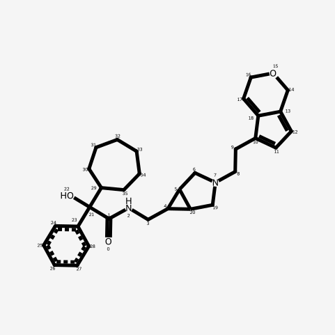 O=C(NCC1C2CN(CCC3=CC=C4COCC=C34)CC12)C(O)(c1ccccc1)C1CCCCCC1